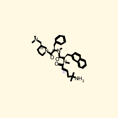 CN(C)C[C@@H]1CCCN(C(=O)[C@@H](Cc2ccccc2)N(C)C(=O)[C@@H](Cc2ccc3ccccc3c2)N(C)C(=O)/C=C/CC(C)(C)N)C1